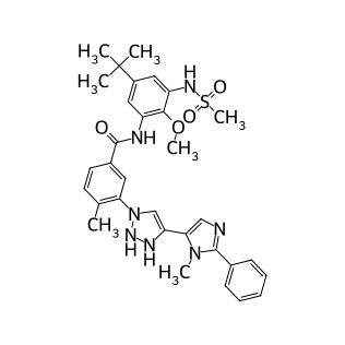 COc1c(NC(=O)c2ccc(C)c(N3C=C(c4cnc(-c5ccccc5)n4C)NN3)c2)cc(C(C)(C)C)cc1NS(C)(=O)=O